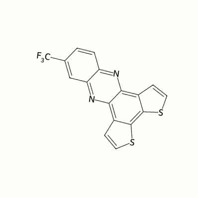 FC(F)(F)c1ccc2nc3c4ccsc4c4sccc4c3nc2c1